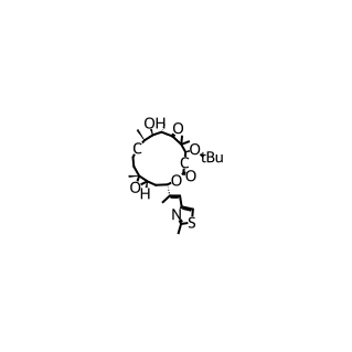 C/C(=C\c1csc(C)n1)[C@@H]1C[C@@H]2O[C@]2(C)CCC[C@@H](C)[C@@H](O)[C@H](C)C(=O)C(C)(C)[C@@H](OC(C)(C)C)CC(=O)O1